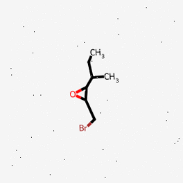 CCC(C)C1OC1CBr